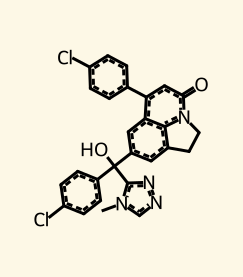 Cn1cnnc1C(O)(c1ccc(Cl)cc1)c1cc2c3c(c1)c(-c1ccc(Cl)cc1)cc(=O)n3CC2